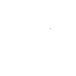 [c]1csc2nnccc12